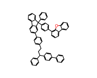 c1ccc(-c2ccc(C(CCc3ccc(-c4ccc5c(c4)C(c4ccccc4)(c4ccc(-c6cccc7c6oc6ccccc67)cc4)c4ccccc4-5)cc3)c3ccccc3)cc2)cc1